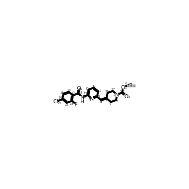 CC(C)(C)OC(=O)N1CCC(=Cc2cccc(NC(=O)c3ccc(Cl)cc3F)n2)CC1